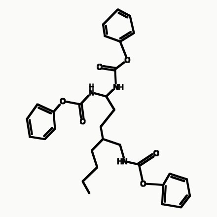 CCCCC(CCC(NC(=O)Oc1ccccc1)NC(=O)Oc1ccccc1)CNC(=O)Oc1ccccc1